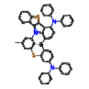 Cc1cc2c3c(c1)-n1c4c(ccc(N(c5ccccc5)c5ccccc5)c4c4sc5ccccc5c41)B3c1ccc(N(c3ccccc3)c3ccccc3)cc1S2